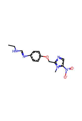 CCN/C=N/c1ccc(OCc2ncc([N+](=O)[O-])n2C)cc1